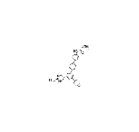 C=CC(=O)Nc1ccc(N2CCN(c3cc(-c4cnc(C)nc4)nc(N4CCOCC4)c3)CC2)cc1